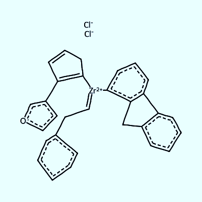 C1=CC(c2ccoc2)=[C]([Zr+2](=[CH]Cc2ccccc2)[c]2cccc3c2Cc2ccccc2-3)C1.[Cl-].[Cl-]